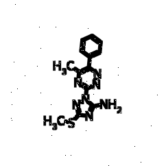 CSc1nc(N)n(-c2nnc(-c3ccccc3)c(C)n2)n1